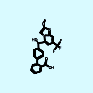 COc1cn2c([C@H](O)c3ccc(-c4ccccc4C(=O)O)cc3)cc(C(F)(F)F)cc2n1